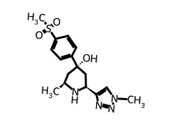 C[C@H]1C[C@@](O)(c2ccc(S(C)(=O)=O)cc2)C[C@@H](c2cn(C)nn2)N1